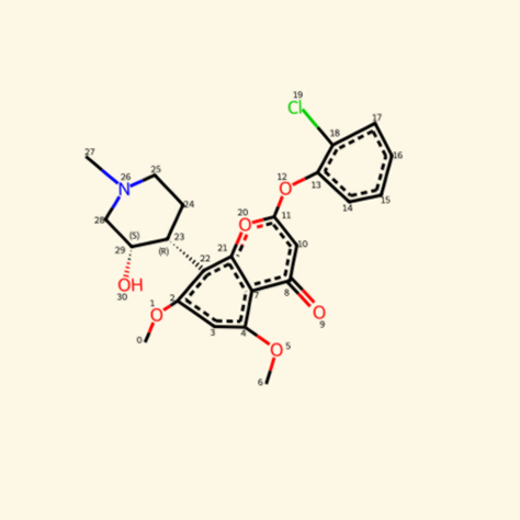 COc1cc(OC)c2c(=O)cc(Oc3ccccc3Cl)oc2c1[C@H]1CCN(C)C[C@H]1O